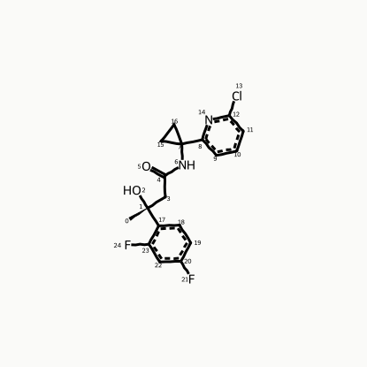 C[C@@](O)(CC(=O)NC1(c2cccc(Cl)n2)CC1)c1ccc(F)cc1F